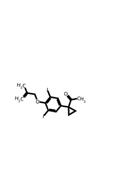 C=C(C)COc1c(I)cc(C2(C(C)=O)CC2)cc1I